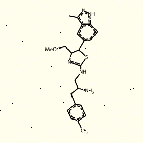 COCC1N=C(NC[C@@H](N)Cc2ccc(C(F)(F)F)cc2)SC1c1ccc2[nH]nc(C)c2c1